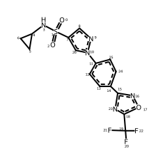 O=S(=O)(NC1CC1)c1cnn(-c2ccc(-c3noc(C(F)(F)F)n3)cc2)c1